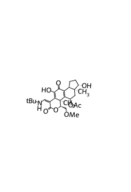 COC[C@H]1OC(=O)C(=CNC(C)(C)C)C2=C(O)C(=O)C3=C([C@H](OC(C)=O)C[C@@]4(C)C3CC[C@@H]4O)[C@]21C